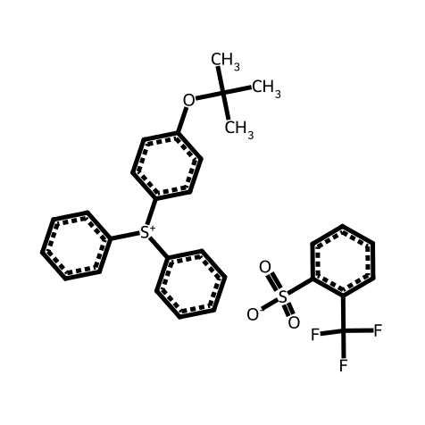 CC(C)(C)Oc1ccc([S+](c2ccccc2)c2ccccc2)cc1.O=S(=O)([O-])c1ccccc1C(F)(F)F